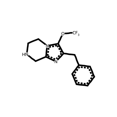 FC(F)(F)Oc1c(Cc2ccccc2)nc2n1CCNC2